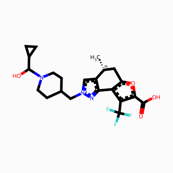 C[C@@H]1Cc2oc(C(=O)O)c(C(F)(F)F)c2-c2nn(CC3CCN(C(O)C4CC4)CC3)cc21